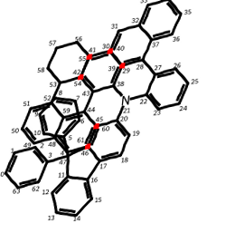 c1ccc(C2(c3ccccc3)c3ccccc3-c3ccc(N(c4ccccc4-c4cccc5ccccc45)c4ccccc4-c4cccc5cccc(C6CCCCC6)c45)cc32)cc1